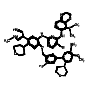 CN/C=C(\C=N)c1cc(Nc2ncc(Br)c(Nc3ccc4nccnc4c3P(C)C)n2)c(OCc2cc(-c3cc(N)c(OC)cc3C3CCOCC3)cn2C)cc1C1CCOCC1